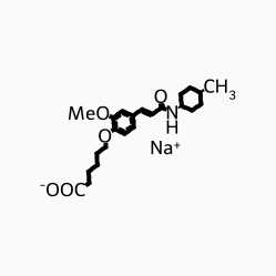 COc1cc(C=CC(=O)N[C@H]2CC[C@H](C)CC2)ccc1OCCCCCC(=O)[O-].[Na+]